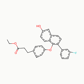 CCOC(=O)CCc1ccc(Oc2c(-c3cccc(F)c3)ccc3cc(O)ccc23)cc1